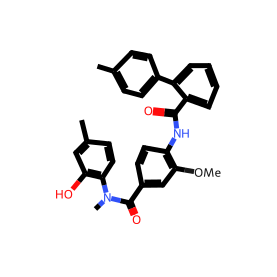 COc1cc(C(=O)N(C)c2ccc(C)cc2O)ccc1NC(=O)c1ccccc1-c1ccc(C)cc1